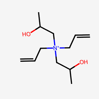 C=CC[N+](CC=C)(CC(C)O)CC(C)O